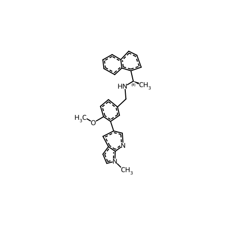 COc1ccc(CN[C@H](C)c2cccc3ccccc23)cc1-c1cnc2c(ccn2C)c1